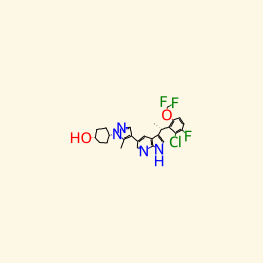 Cc1c(-c2cnc3[nH]cc([C@H](C)c4c(OC(F)F)ccc(F)c4Cl)c3c2)cnn1[C@H]1CC[C@@H](O)CC1